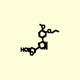 CCCOc1cc(-c2cc(C3=COB(O)C3)cnn2)ccc1OC